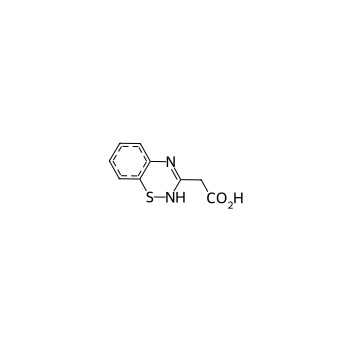 O=C(O)CC1=Nc2ccccc2SN1